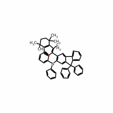 Cc1c(-c2cc3c(cc2N(c2ccccc2)c2ccccc2)C(c2ccccc2)(c2ccccc2)c2ccccc2-3)ccc2c1C(C)(C)CCC2(C)C